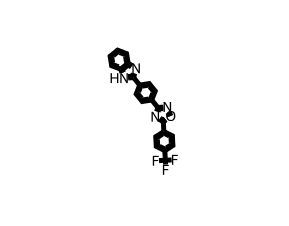 FC(F)(F)c1ccc(-c2nc(-c3ccc(-c4nc5ccccc5[nH]4)cc3)no2)cc1